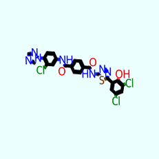 O=C(Nc1ccc(-n2cncn2)c(Cl)c1)c1ccc(C(=O)Nc2nnc(-c3cc(Cl)cc(Cl)c3O)s2)cc1